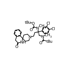 CN(C[C@](CCN1CCC2(CC1)NC(=O)Cc1ccccc12)(c1ccc(Cl)c(Cl)c1)N(C)C(=O)OC(C)(C)C)C(=O)C(C)(C)C